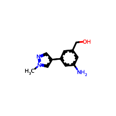 Cn1cc(-c2cc(N)cc(CO)c2)cn1